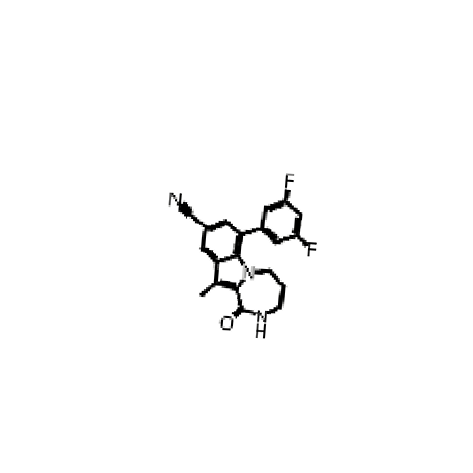 Cc1c2n(c3c(-c4cc(F)cc(F)c4)cc(C#N)cc13)CCCNC2=O